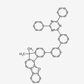 CC1(C)c2ccc(-c3cccc(-c4cccc(-c5nc(-c6ccccc6)nc(-c6ccccc6)n5)c4)c3)cc2-c2c1ccc1c2oc2ccccc21